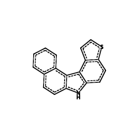 c1ccc2c(c1)ccc1[nH]c3ccc4sccc4c3c12